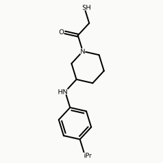 CC(C)c1ccc(NC2CCCN(C(=O)CS)C2)cc1